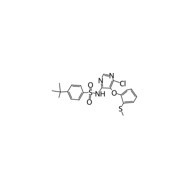 CSc1ccccc1Oc1c(Cl)ncnc1NS(=O)(=O)c1ccc(C(C)(C)C)cc1